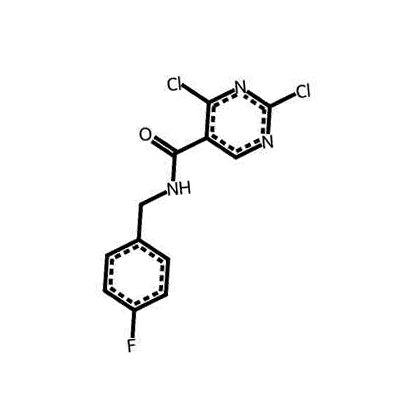 O=C(NCc1ccc(F)cc1)c1cnc(Cl)nc1Cl